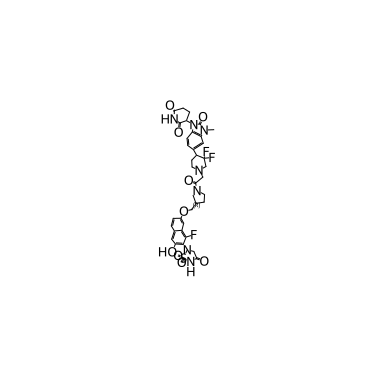 Cn1c(=O)n(C2CCC(=O)NC2=O)c2ccc(C3CCN(CC(=O)N4CC[C@@H](COc5ccc6cc(O)c(N7CC(=O)NS7(=O)=O)c(F)c6c5)C4)CC3(F)F)cc21